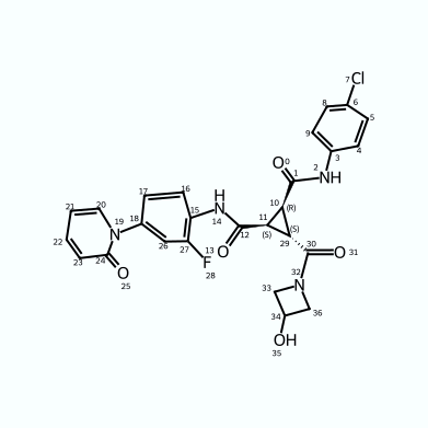 O=C(Nc1ccc(Cl)cc1)[C@@H]1[C@H](C(=O)Nc2ccc(-n3ccccc3=O)cc2F)[C@H]1C(=O)N1CC(O)C1